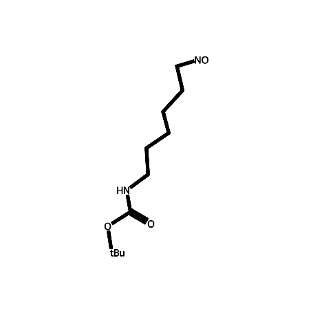 CC(C)(C)OC(=O)NCCCCCCN=O